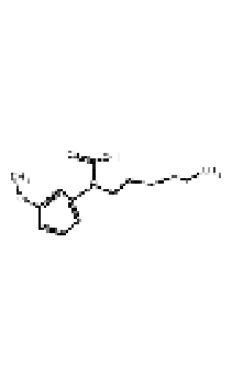 CCCCCCN(C(=O)O)c1cccc(OC)c1